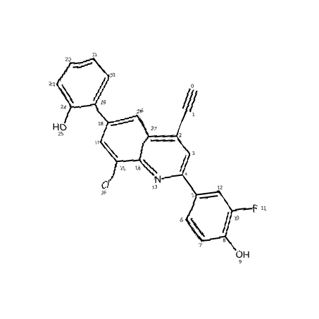 C#Cc1cc(-c2ccc(O)c(F)c2)nc2c(Cl)cc(-c3ccccc3O)cc12